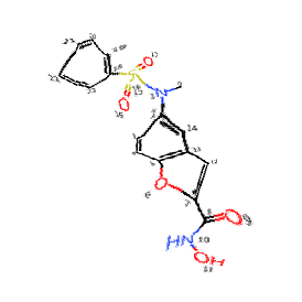 CN(c1ccc2oc(C(=O)NO)cc2c1)S(=O)(=O)c1ccccc1